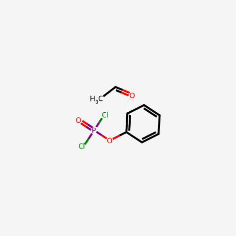 CC=O.O=P(Cl)(Cl)Oc1ccccc1